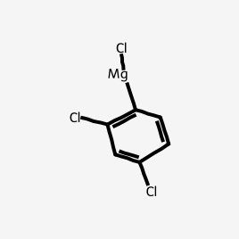 [Cl][Mg][c]1ccc(Cl)cc1Cl